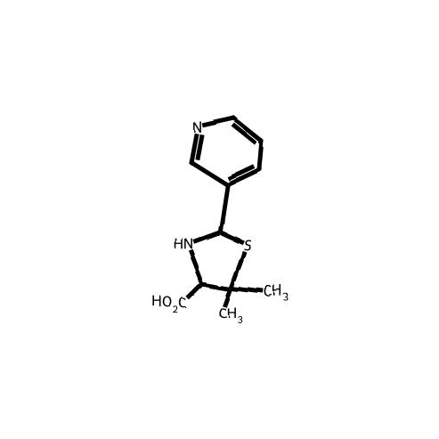 CC1(C)SC(c2cccnc2)NC1C(=O)O